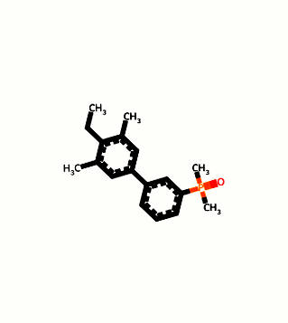 CCc1c(C)cc(-c2cccc(P(C)(C)=O)c2)cc1C